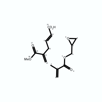 C=C(C)C(=O)OCC1CO1.C=C(CC=CC(=O)O)C(=O)OC